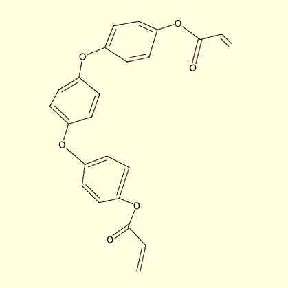 C=CC(=O)Oc1ccc(Oc2ccc(Oc3ccc(OC(=O)C=C)cc3)cc2)cc1